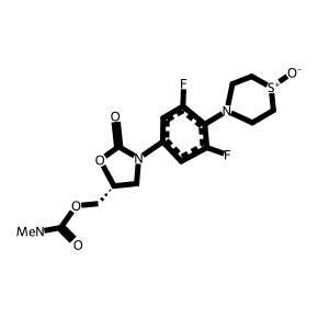 CNC(=O)OC[C@H]1CN(c2cc(F)c(N3CC[S+]([O-])CC3)c(F)c2)C(=O)O1